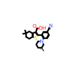 C[C@H]1CCCN(c2ccc(C#N)cc2-c2sc3c(c2C(=O)O)CC(C)(C)CC3)C1